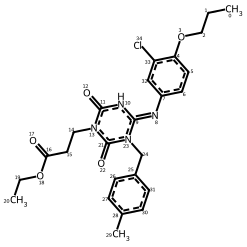 CCCOc1ccc(/N=c2\[nH]c(=O)n(CCC(=O)OCC)c(=O)n2Cc2ccc(C)cc2)cc1Cl